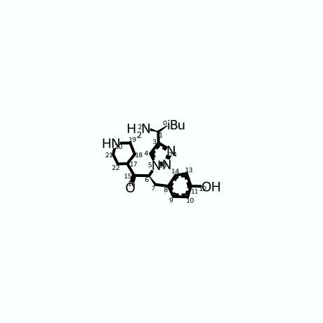 CC[C@H](C)[C@H](N)c1cn([C@@H](Cc2ccc(O)cc2)C(=O)C2CCNCC2)nn1